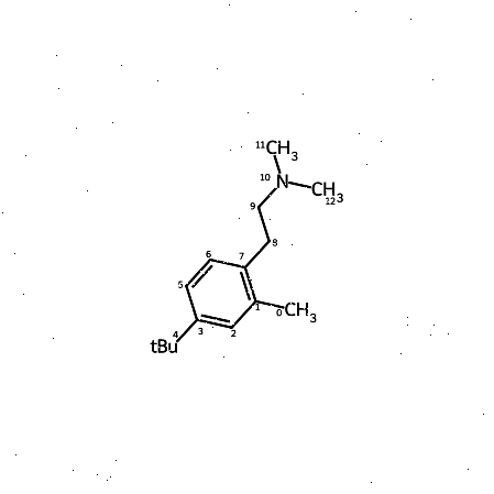 Cc1cc(C(C)(C)C)ccc1CCN(C)C